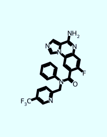 Nc1nc2cc(F)c(C(=O)N(Cc3ccc(C(F)(F)F)cn3)c3ccccc3)cc2n2cncc12